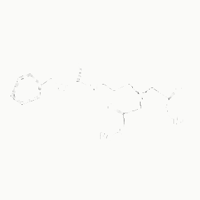 CC(C)(C)OC(=O)CN(CCCNC(=O)OCc1ccccc1)CC(=O)OC(C)(C)C